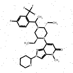 CC[C@H]1CN(C(C)c2ccc(F)cc2C(F)(F)F)[C@H](CC)CN1c1cc(=O)n(C)c2cn(C3CCCCO3)nc12